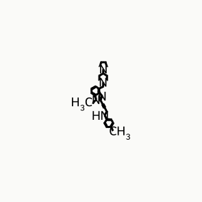 CCn1c(C#CCNc2ccc(C)cc2)nc2c(CN3CCC(N4CCCC4)CC3)cccc21